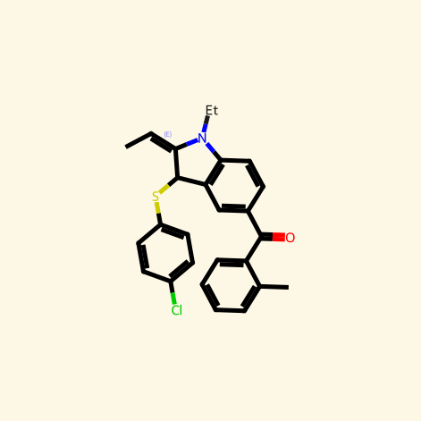 C/C=C1\C(Sc2ccc(Cl)cc2)c2cc(C(=O)c3ccccc3C)ccc2N1CC